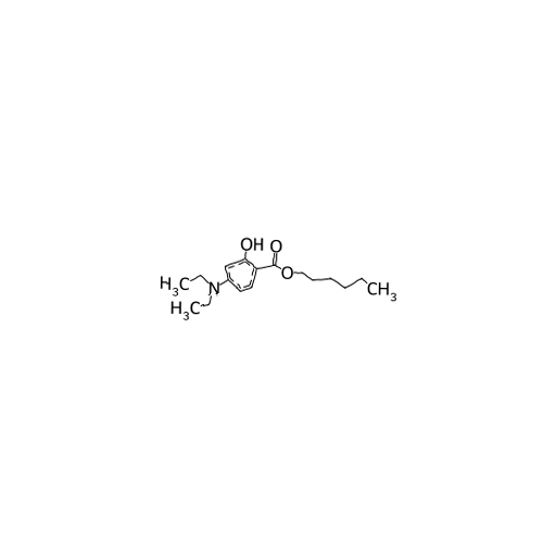 CCCCCCOC(=O)c1ccc(N(CC)CC)cc1O